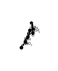 Cc1c(C(=O)NCCN2CCCC2)c(-c2cccc(N3CCN(c4ccc(N[S+]([O-])c5ccc(NCCSc6ccccc6)c([N+](=O)[O-])c5)cc4)CC3)c2)c(-c2ccc(Cl)cc2)n1C